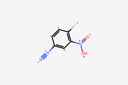 N#[N+]c1ccc(F)c([N+](=O)O)c1